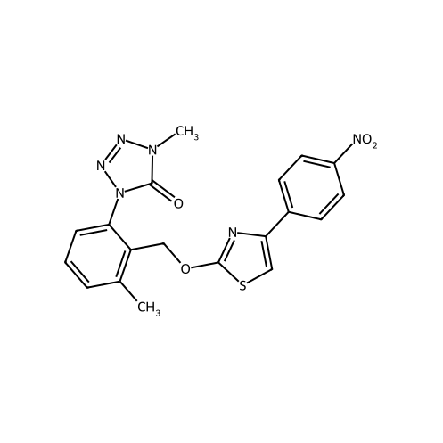 Cc1cccc(-n2nnn(C)c2=O)c1COc1nc(-c2ccc([N+](=O)[O-])cc2)cs1